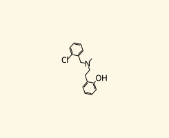 CN(CCc1ccccc1O)Cc1ccccc1Cl